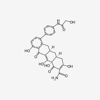 NC(=O)C1=C(O)C[C@@H]2C[C@@H]3Cc4c(-c5ccc(NC(=O)CO)cc5)ccc(O)c4C(=O)C3=C(O)[C@]2(O)C1=O